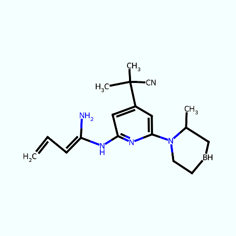 C=C/C=C(\N)Nc1cc(C(C)(C)C#N)cc(N2CCBCC2C)n1